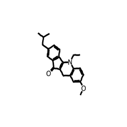 CCN1C2=C(Cc3cc(OC)ccc31)C(=O)c1cc(CC(C)C)ccc12